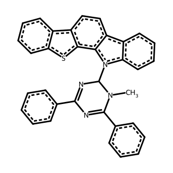 CN1C(c2ccccc2)=NC(c2ccccc2)=NC1n1c2ccccc2c2ccc3c4ccccc4sc3c21